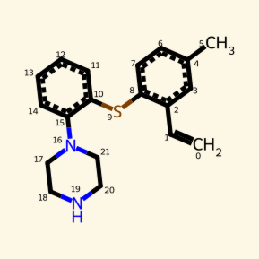 C=Cc1cc(C)ccc1Sc1ccccc1N1CCNCC1